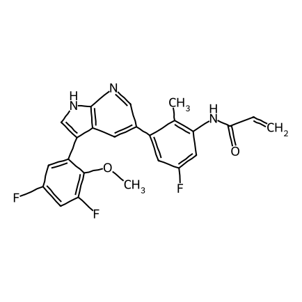 C=CC(=O)Nc1cc(F)cc(-c2cnc3[nH]cc(-c4cc(F)cc(F)c4OC)c3c2)c1C